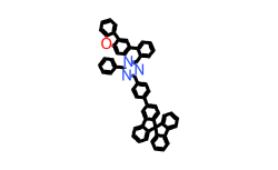 c1ccc(-c2nc(-c3ccc(-c4ccc5c(c4)-c4ccccc4C54c5ccccc5-c5ccccc54)cc3)nc(-c3ccccc3-c3ccc4oc5ccccc5c4c3)n2)cc1